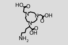 NCCCC(C(=O)O)N1CCN(CC(=O)O)CCN(CC(=O)O)CC1